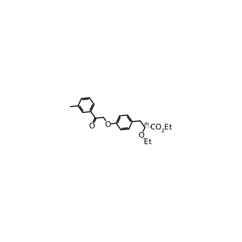 CCOC(=O)[C@@H](Cc1ccc(OCC(=O)c2cccc(C)c2)cc1)OCC